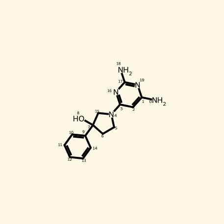 Nc1cc(N2CCC(O)(c3ccccc3)C2)nc(N)n1